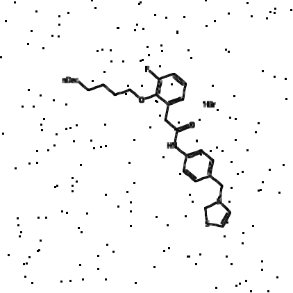 Br.CCCCCCCCCCCCCCOc1c(F)cccc1CC(=O)Nc1ccc(CN2C=CSC2)cc1